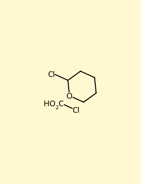 ClC1CCCCO1.O=C(O)Cl